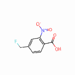 O=C(O)c1ccc(CF)cc1[N+](=O)[O-]